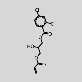 C=CC(=O)OCC(O)COC(=O)c1ccc(Cl)cc1Cl